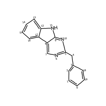 c1ccc(Cc2ncc3c(n2)[nH]c2ccccc23)cc1